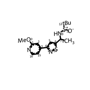 COc1cc(-c2cc(C(C)N[S+]([O-])C(C)(C)C)sn2)ccn1